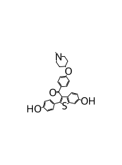 CN1CCC(Oc2ccc(C(=O)c3c(-c4ccc(O)cc4)sc4cc(O)ccc34)cc2)CC1